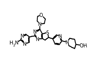 Nc1ncc(-c2nc3c(c(N4CCOCC4)n2)SC(c2ccc(N4CCC(O)CC4)nc2)C3)cn1